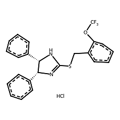 Cl.FC(F)(F)Oc1ccccc1CSC1=N[C@H](c2ccccc2)[C@H](c2ccccc2)N1